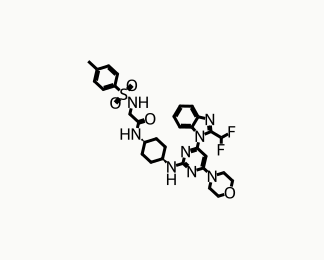 Cc1ccc(S(=O)(=O)NCC(=O)N[C@H]2CC[C@H](Nc3nc(N4CCOCC4)cc(-n4c(C(F)F)nc5ccccc54)n3)CC2)cc1